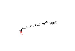 CCCCCCCCCCCCCCCCCC[CH]C1CO1